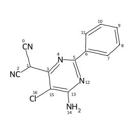 N#CC(C#N)c1nc(-c2ccccc2)nc(N)c1Cl